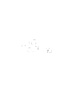 CN(c1ccccc1-c1sc2c(c1C(=O)O)CC(C)(C)CC2)[C@H]1C[C@H](ON)C1